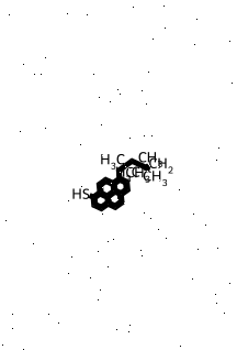 C=C(C)C(C)(C)CC(C)(C)Cc1ccc2ccc3ccc(S)c4ccc1c2c34